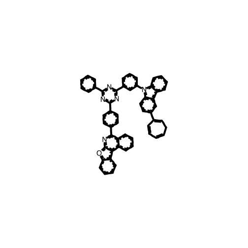 C1=CCC=C(c2ccc3c(c2)c2ccccc2n3-c2cccc(-c3nc(-c4ccccc4)nc(-c4ccc(-c5nc6oc7ccccc7c6c6ccccc56)cc4)n3)c2)C=C1